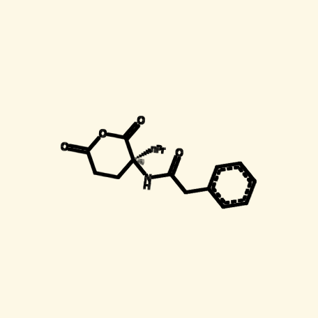 CCC[C@]1(NC(=O)Cc2ccccc2)CCC(=O)OC1=O